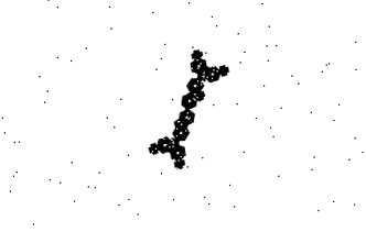 CC(C)(C)c1ccc2c(c1)c1cc(C(C)(C)C)ccc1n2-c1ccc2c(c1)Cc1cc(-c3ccc4c(c3)C(C)(C)c3cc(-n5c6ccc(C(C)(C)C)cc6c6cc(C(C)(C)C)ccc65)ccc3-4)ccc1-2